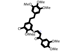 COc1ccc(C(=O)/C=C\Nc2cc(CCc3cc(OC)c(OC)c(OC)c3)cc(Cl)c2OC)cc1OC